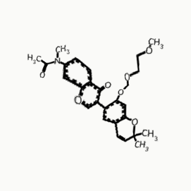 COCCOCOc1cc2c(cc1-c1coc3cc(N(C)C(C)=O)ccc3c1=O)C=CC(C)(C)O2